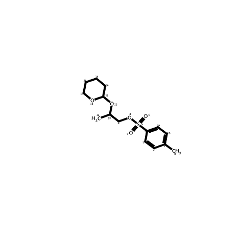 Cc1ccc(S(=O)(=O)OCC(C)OC2CCCCO2)cc1